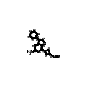 CNC1CN(c2nc(N)nc3c(-c4ccccc4)coc23)C1